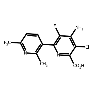 Cc1nc(C(F)(F)F)ccc1-c1nc(C(=O)O)c(Cl)c(N)c1F